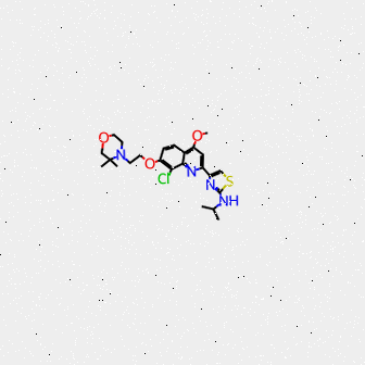 COc1cc(-c2csc(NC(C)C)n2)nc2c(Cl)c(OCCN3CCOCC3(C)C)ccc12